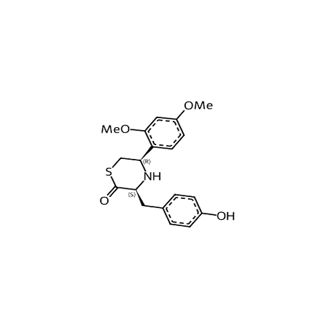 COc1ccc([C@@H]2CSC(=O)[C@H](Cc3ccc(O)cc3)N2)c(OC)c1